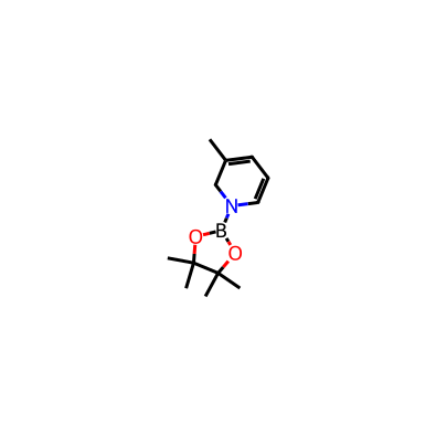 CC1=CC=CN(B2OC(C)(C)C(C)(C)O2)C1